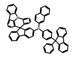 c1ccc(C2(c3ccc(N(c4ccc5c(c4)C4(c6ccccc6-5)c5ccccc5-n5c6ccccc6c6cccc4c65)c4ccc5ccccc5c4)cc3)c3ccccc3-c3ccccc32)cc1